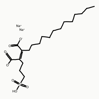 CCCCCCCCCCCCC/C(C(=O)[O-])=C(\CCCS(=O)(=O)O)C(=O)[O-].[Na+].[Na+]